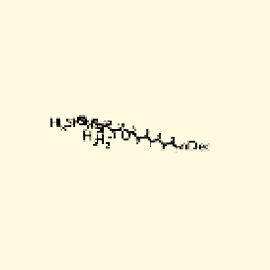 CCCCCCCCCCCCCCCCCCOCCC[SiH2]O[SiH2]O[SiH3]